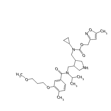 COCCCOc1cc(C(=O)N(CC2CNCC2CN(C(=O)OCc2cc(C)on2)C2CC2)C(C)C)ccc1C